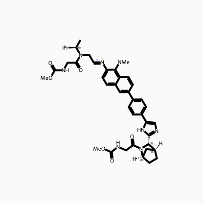 CNc1c(/N=C/CN(C(=O)CNC(=O)OC)[C@H](C)C(C)C)ccc2cc(-c3ccc(-c4cnc([C@@H]5[C@H]6CC[C@H](C6)N5C(=O)CNC(=O)OC)[nH]4)cc3)ccc12